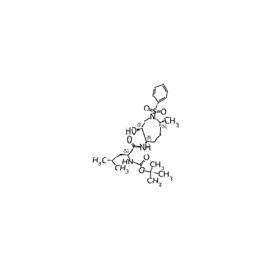 CC(C)C[C@H](NC(=O)OC(C)(C)C)C(=O)N[C@@H]1CC[C@H](C)N(S(=O)(=O)c2ccccc2)C[C@@H]1O